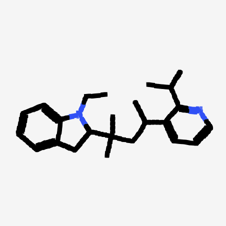 CCN1c2ccccc2CC1C(C)(C)CC(C)c1cccnc1C(C)C